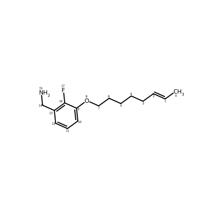 CC=CCCCCCOc1cccc(CN)c1F